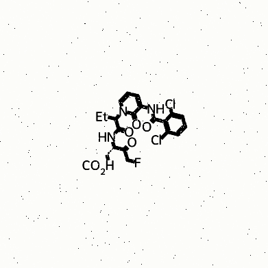 CCC(C(=O)N[C@@H](CC(=O)O)C(=O)CF)n1cccc(NC(=O)c2c(Cl)cccc2Cl)c1=O